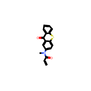 C=CC(=O)N(C)c1ccc2sc3ccccc3c(=O)c2c1